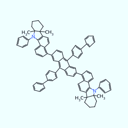 CC12CCCCC1(C)N(c1ccccc1)c1c2ccc2c(-c3ccc4c(-c5ccc(-c6ccccc6)cc5)c5cc(-c6cccc7c8c(ccc67)C6(C)CCCCC6(C)N8c6ccccc6)ccc5c(-c5ccc(-c6ccccc6)cc5)c4c3)cccc12